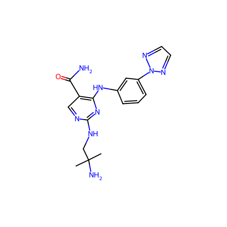 CC(C)(N)CNc1ncc(C(N)=O)c(Nc2cccc(-n3nccn3)c2)n1